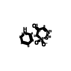 C1=CCNC=C1.O=C1C=NS[N+]([O-])([O-])C1